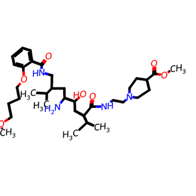 COCCCCOc1ccccc1C(=O)NCC(CC(N)C(O)CC(C(=O)NCCN1CCC(C(=O)OC)CC1)C(C)C)C(C)C